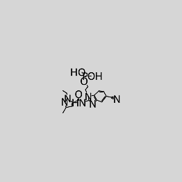 CCn1nc(C)cc1C(=O)Nc1nc2cc(C#N)ccc2n1CCOP(O)O